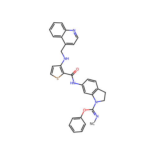 N#CN=C(Oc1ccccc1)N1CCc2ccc(NC(=O)c3sccc3NCc3ccnc4ccccc34)cc21